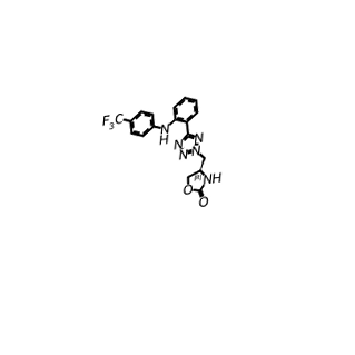 O=C1N[C@H](Cn2nnc(-c3ccccc3Nc3ccc(C(F)(F)F)cc3)n2)CO1